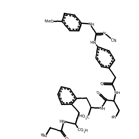 COc1ccc(NC(=NC#N)Nc2ccc(CC(=O)NC(CC(C)C)C(=O)NC(Cc3ccccc3CC(NC(=O)CC(C)(C)C)C(=O)O)C(=O)O)cc2)cc1